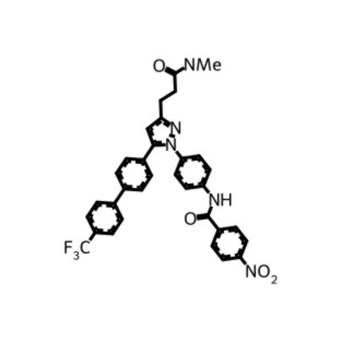 CNC(=O)CCc1cc(-c2ccc(-c3ccc(C(F)(F)F)cc3)cc2)n(-c2ccc(NC(=O)c3ccc([N+](=O)[O-])cc3)cc2)n1